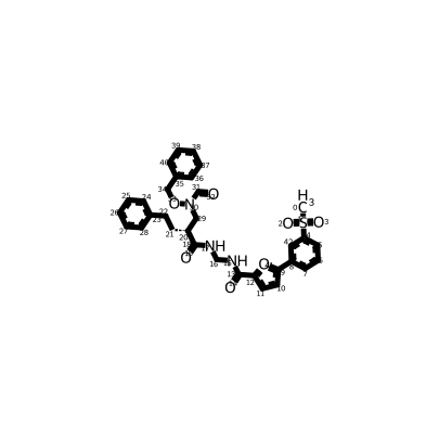 CS(=O)(=O)c1cccc(-c2ccc(C(=O)NCNC(=O)[C@H](CCc3ccccc3)CN(C=O)OCc3ccccc3)o2)c1